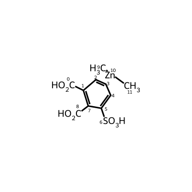 O=C(O)c1cccc(S(=O)(=O)O)c1C(=O)O.[CH3][Zn][CH3]